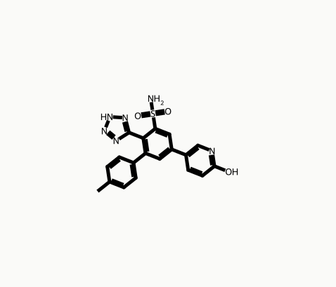 Cc1ccc(-c2cc(-c3ccc(O)nc3)cc(S(N)(=O)=O)c2-c2nn[nH]n2)cc1